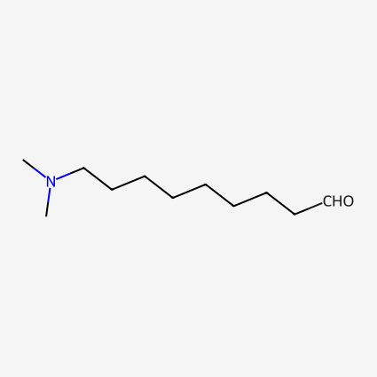 CN(C)CCCCCCCCC=O